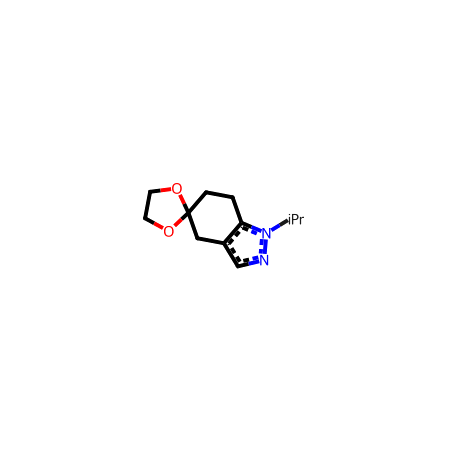 CC(C)n1ncc2c1CCC1(C2)OCCO1